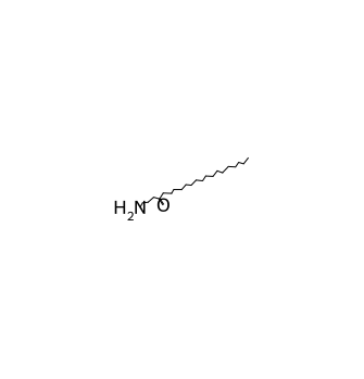 CCCCCCCCCCCCCCCCCC(=O)CCCN